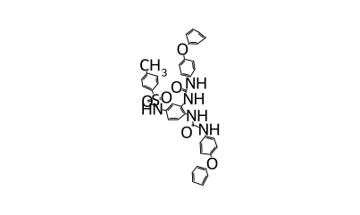 Cc1ccc(S(=O)(=O)Nc2ccc(NC(=O)Nc3ccc(Oc4ccccc4)cc3)c(NC(=O)Nc3ccc(Oc4ccccc4)cc3)c2)cc1